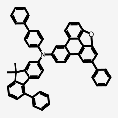 CC1(C)c2cc(N(c3ccc(-c4ccccc4)cc3)c3ccc4c(c3)c3cccc5oc6cc(-c7ccccc7)cc4c6c53)ccc2-c2c(-c3ccccc3)cccc21